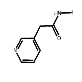 O=C(Cc1cccnc1)NI